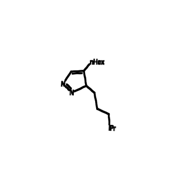 CCCCCCC1=CN=NC1CCCC(C)C